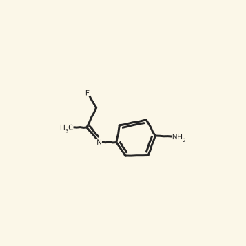 CC(CF)=Nc1ccc(N)cc1